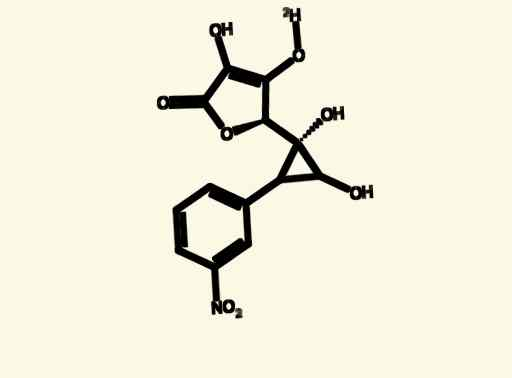 [2H]OC1=C(O)C(=O)O[C@@H]1[C@@]1(O)C(O)C1c1cccc([N+](=O)[O-])c1